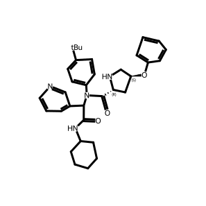 CC(C)(C)c1ccc(N(C(=O)[C@H]2C[C@H](Oc3ccccc3)CN2)C(C(=O)NC2CCCCC2)c2cccnc2)cc1